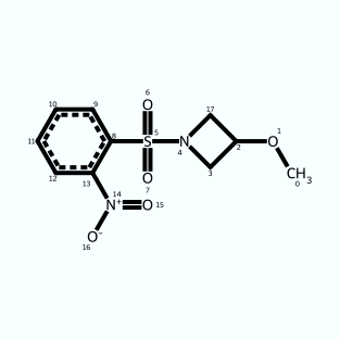 COC1CN(S(=O)(=O)c2ccccc2[N+](=O)[O-])C1